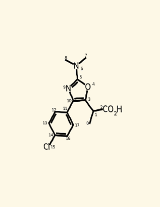 CC(C(=O)O)c1oc(N(C)C)nc1-c1ccc(Cl)cc1